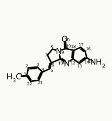 Cc1ccc(C=C2CCn3c2nc2cc(N)ccc2c3=O)cc1